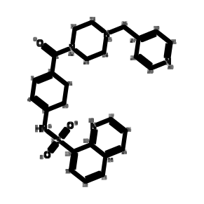 O=C(C1=CC=C(NS(=O)(=O)c2cccc3cccnc23)CC1)N1CCN(Cc2ccncc2)CC1